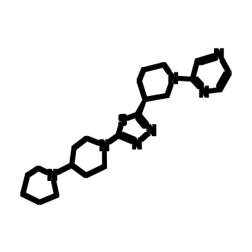 c1cnc(N2CCC[C@H](c3nnc(N4CCC(N5CCCCC5)CC4)s3)C2)cn1